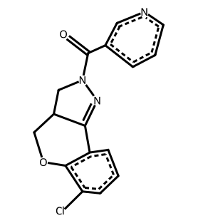 O=C(c1cccnc1)N1CC2COc3c(Cl)cccc3C2=N1